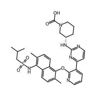 Cc1ccc2c(Oc3ncccc3-c3ccnc(N[C@H]4CCCN(C(=O)O)C4)n3)c(C)ccc2c1NS(=O)(=O)CC(C)C